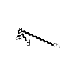 CCCCCCCCCCCCCCC=CCC1=NCC[N+]1(CCO)CCCCCl.[Cl-]